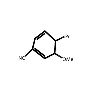 COC1C=C(C#N)C=CC1C(C)C